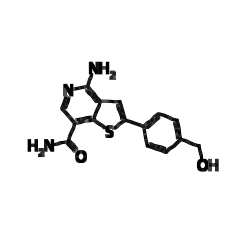 NC(=O)c1cnc(N)c2cc(-c3ccc(CO)cc3)sc12